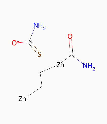 NC([O-])=S.N[C](=O)[Zn][CH2][CH2][Zn+]